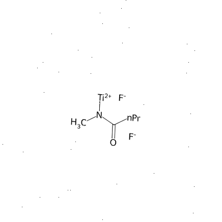 CCCC(=O)[N](C)[Ti+2].[F-].[F-]